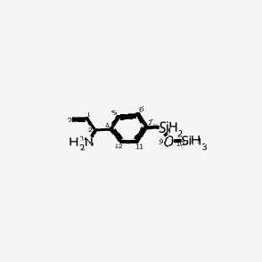 C=CC(N)c1ccc([SiH2]O[SiH3])cc1